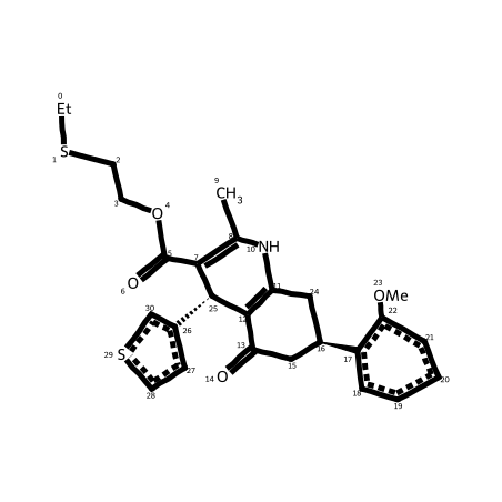 CCSCCOC(=O)C1=C(C)NC2=C(C(=O)C[C@H](c3ccccc3OC)C2)[C@@H]1c1ccsc1